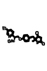 CCc1ccc([C@@H](COc2ccc(CC3(C)SC(=O)CC3=O)cc2)OC(C)=O)nc1